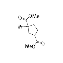 COC(=O)C1CCC(C(=O)OC)(C(C)C)C1